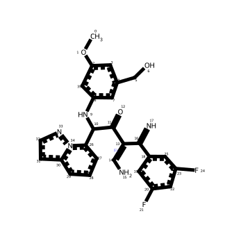 COc1cc(CO)cc(NC(C(=O)/C(=C/N)C(=N)c2cc(F)cc(F)c2)c2cccc3ccnn23)c1